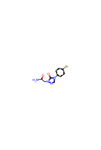 NC(=O)Cn1ncn(-c2ccc(Br)cc2)c1=O